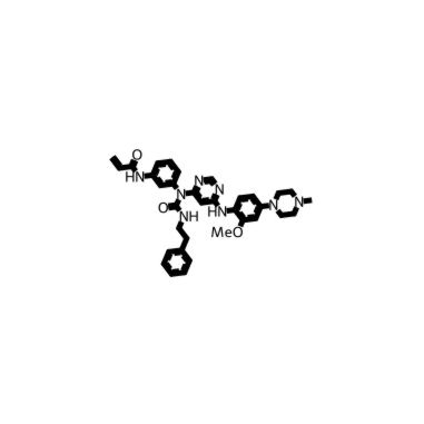 C=CC(=O)Nc1cccc(N(C(=O)NCCc2ccccc2)c2cc(Nc3ccc(N4CCN(C)CC4)cc3OC)ncn2)c1